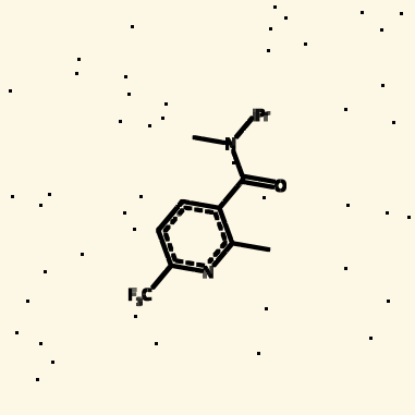 Cc1nc(C(F)(F)F)ccc1C(=O)N(C)C(C)C